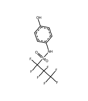 O=S(=O)(Nc1ccc(O)cc1)C(F)(F)C(F)(F)C(F)(F)F